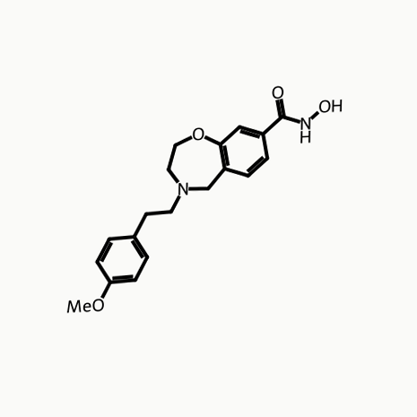 COc1ccc(CCN2CCOc3cc(C(=O)NO)ccc3C2)cc1